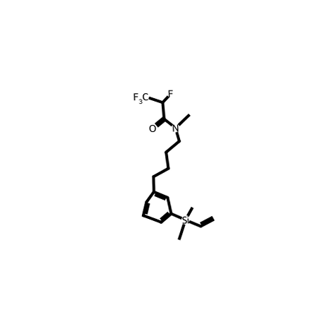 C=C[Si](C)(C)c1cccc(CCCCN(C)C(=O)C(F)C(F)(F)F)c1